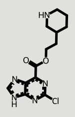 O=C(OCCC1CCCNC1)c1nc(Cl)nc2[nH]cnc12